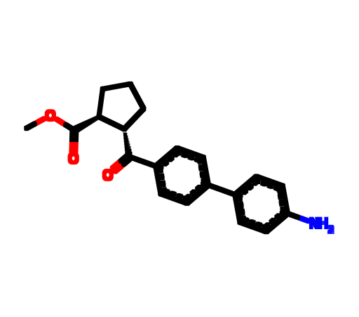 COC(=O)[C@H]1CCC[C@@H]1C(=O)c1ccc(-c2ccc(N)cc2)cc1